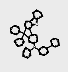 c1ccc(-c2cccc(N(c3ccccc3)c3ccc4c(c3)C(c3ccccc3)(c3ccccc3)c3ccc5c(oc6ccccc65)c3-4)c2)cc1